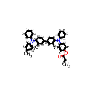 C=CC(=O)Oc1ccc(N(c2ccccc2)c2ccc(-c3ccc(N(c4ccccc4)c4ccc(C)cc4)c(C)c3)cc2C)cc1